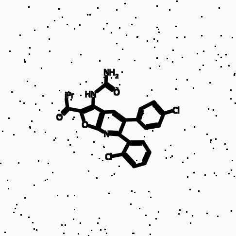 CC(C)C(=O)c1oc2nc(-c3ccccc3Cl)c(-c3ccc(Cl)cc3)cc2c1NC(N)=O